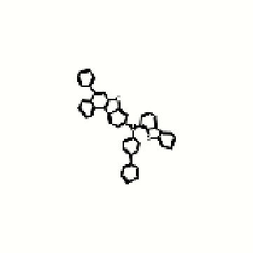 c1ccc(-c2ccc(N(c3ccc4c(c3)oc3cc(-c5ccccc5)c5ccccc5c34)c3cccc4c3sc3ccccc34)cc2)cc1